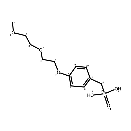 COCCOCCOc1ccc(CP(=O)(O)O)cc1